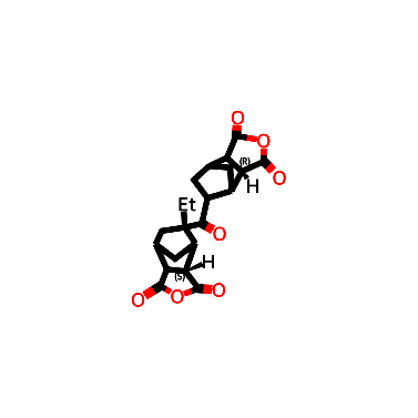 CCC1(C(=O)C2CC3CC2[C@H]2C(=O)OC(=O)C32)CC2CC1[C@@H]1C(=O)OC(=O)C21